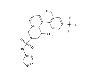 Cc1cc(C(F)(F)F)ccc1-c1cccc2c1C(C)CN(S(=O)(=O)Nc1ncns1)C2